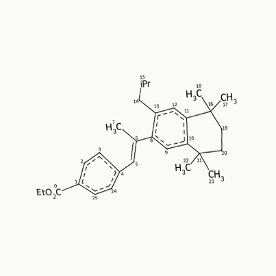 CCOC(=O)c1ccc(C=C(C)c2cc3c(cc2CC(C)C)C(C)(C)CCC3(C)C)cc1